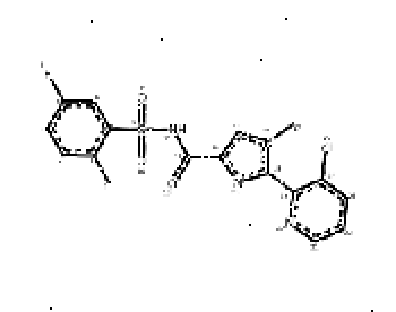 Cc1ccc(F)cc1S(=O)(=O)NC(=O)c1cn(C)c(-c2ncccc2Cl)n1